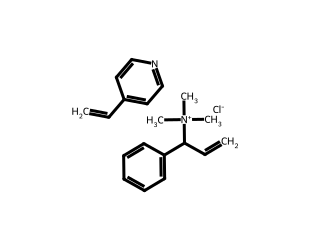 C=CC(c1ccccc1)[N+](C)(C)C.C=Cc1ccncc1.[Cl-]